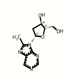 Cc1nc2cncnc2n1[C@@H]1C[C@@H](O)[C@H](CO)O1